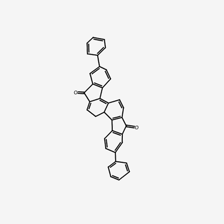 O=C1C2=CCC3C(=C2c2ccc(-c4ccccc4)cc21)C=CC1=C3c2ccc(-c3ccccc3)cc2C1=O